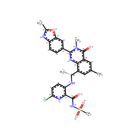 Cc1cc([C@@H](C)Nc2ccc(Cl)nc2C(=O)NS(C)(=O)=O)c2nc(-c3ccc4nc(C)oc4c3)n(C)c(=O)c2c1